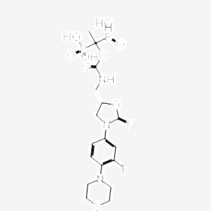 CC(OC(=S)NC[C@H]1CN(c2ccc(N3CCSCC3)c(F)c2)C(=O)O1)([PH](=O)O)P(=O)(O)O